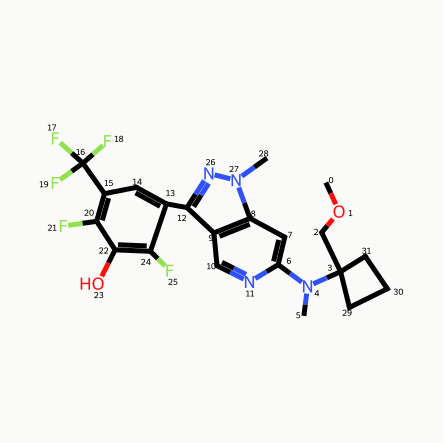 COCC1(N(C)c2cc3c(cn2)c(-c2cc(C(F)(F)F)c(F)c(O)c2F)nn3C)CCC1